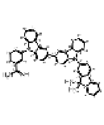 CC1(C)c2ccccc2-c2ccc(-n3c4ccccc4c4cc(-c5ccc6c(c5)c5ccccc5n6-c5cccc(C(=N)N)c5)ccc43)cc21